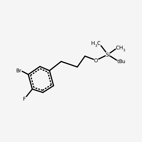 CC(C)(C)[Si](C)(C)OCCCc1ccc(F)c(Br)c1